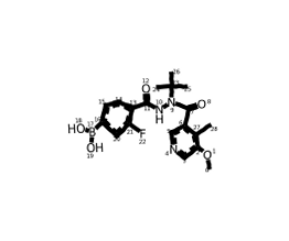 COc1cncc(C(=O)N(NC(=O)c2ccc(B(O)O)cc2F)C(C)(C)C)c1C